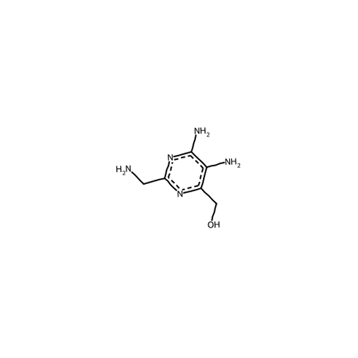 NCc1nc(N)c(N)c(CO)n1